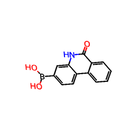 O=c1[nH]c2cc(B(O)O)ccc2c2ccccc12